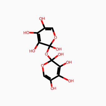 OC1=COC(O)(OC2(O)OC=C(O)C(O)=C2O)C(O)=C1O